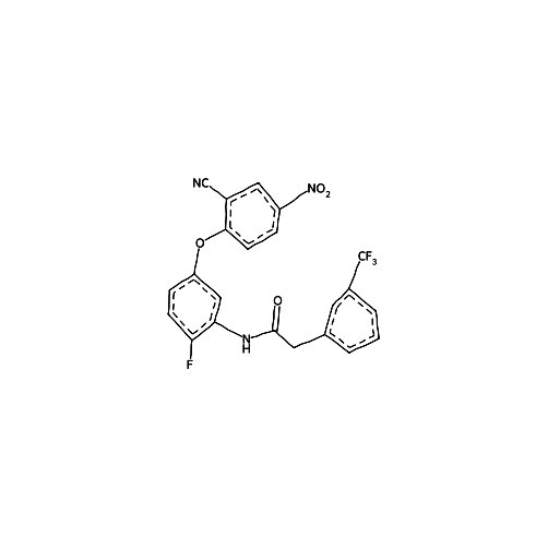 N#Cc1cc([N+](=O)[O-])ccc1Oc1ccc(F)c(NC(=O)Cc2cccc(C(F)(F)F)c2)c1